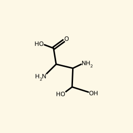 NC(C(=O)O)C(N)C(O)O